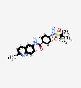 Cc1ccc2cc(NC(=O)[C@H]3CC[C@H](NS(=O)(=O)C(C)(C)C)CC3)ccc2n1